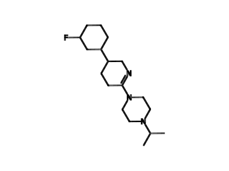 CC(C)N1CCN(C2=NCC(C3CCCC(F)C3)CC2)CC1